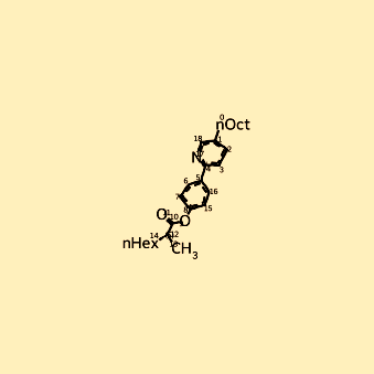 CCCCCCCCc1ccc(-c2ccc(OC(=O)[C@@H](C)CCCCCC)cc2)nc1